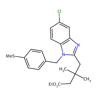 CCOC(=O)CC(C)(C)Cc1nc2cc(Cl)ccc2n1Cc1ccc(SC)cc1